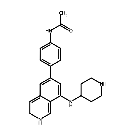 CC(=O)Nc1ccc(-c2cc(NC3CCNCC3)c3c(c2)=CCNC=3)cc1